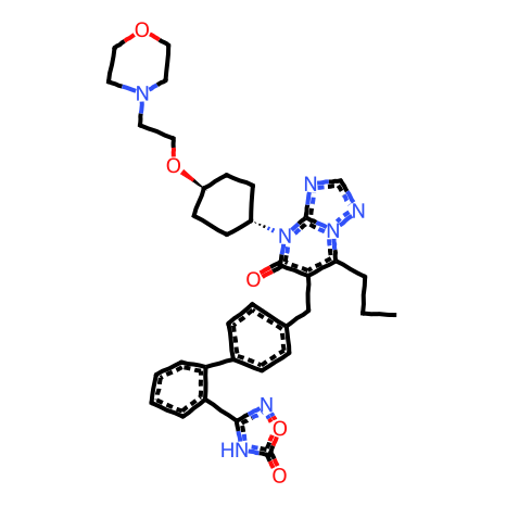 CCCc1c(Cc2ccc(-c3ccccc3-c3noc(=O)[nH]3)cc2)c(=O)n([C@H]2CC[C@H](OCCN3CCOCC3)CC2)c2ncnn12